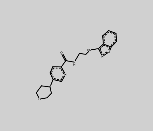 O=C(NCCNc1nsc2ccccc12)c1ccc(N2CCOCC2)cn1